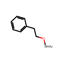 CC(=O)NOCCc1ccccc1